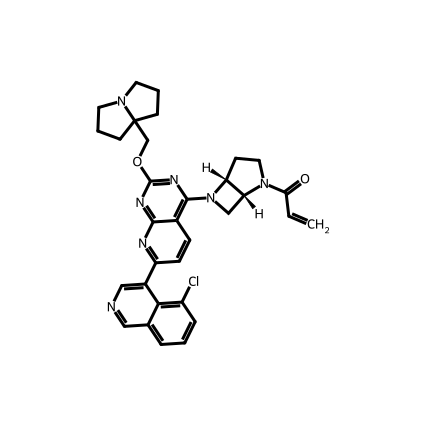 C=CC(=O)N1CC[C@@H]2[C@H]1CN2c1nc(OCC23CCCN2CCC3)nc2nc(-c3cncc4cccc(Cl)c34)ccc12